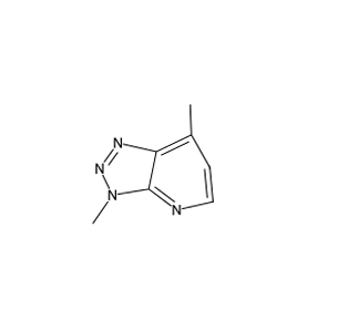 Cc1ccnc2c1nnn2C